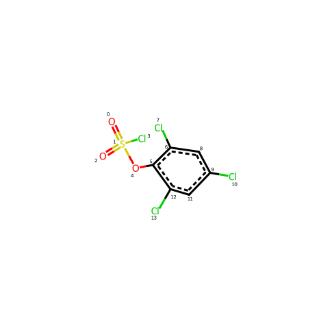 O=S(=O)(Cl)Oc1c(Cl)cc(Cl)cc1Cl